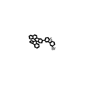 Brc1ccc2sc3ccc(-c4ccc5c(c4)-c4ccc6ccccc6c4C54c5ccccc5-c5ccccc54)cc3c2c1